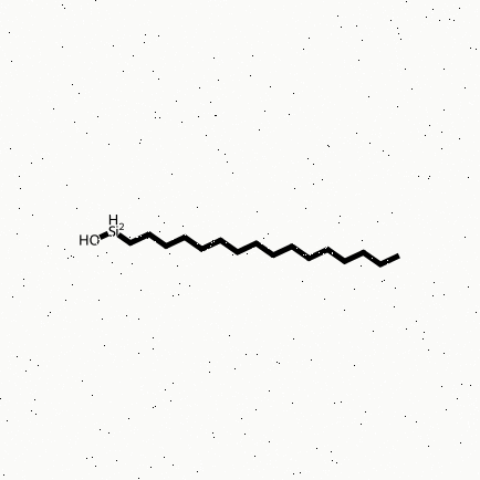 CCCCCCCCCCCCCCCC[SiH2]O